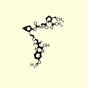 CC[C@@H]1CCN(C(=O)CNC(=O)OC2CC3CC3[C@H]2CCOCC(F)(F)c2nc3ccc(OC)cc3nc2O)[C@@H]1C(C)=O